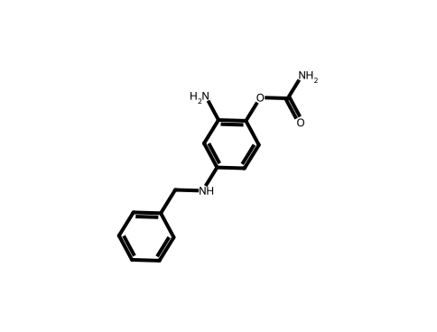 NC(=O)Oc1ccc(NCc2ccccc2)cc1N